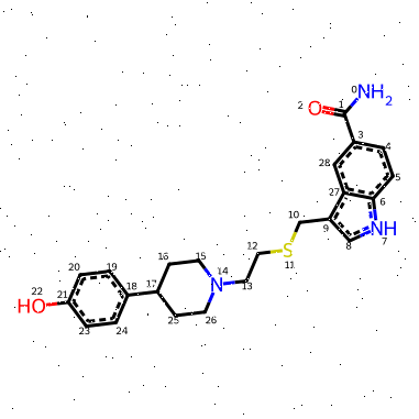 NC(=O)c1ccc2[nH]cc(CSCCN3CCC(c4ccc(O)cc4)CC3)c2c1